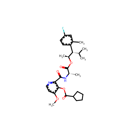 COc1ccnc(C(=O)N[C@@H](C)C(=O)O[C@@H](C)[C@H](c2ccc(F)cc2C)C(C)C)c1OC(=O)C1CCCC1